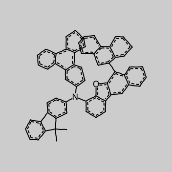 CC1(C)c2ccccc2-c2ccc(N(c3ccc4c5ccccc5c5ccccc5c4c3)c3cccc4c3oc3c(-c5cc6ccccc6c6ccccc56)c5ccccc5cc34)cc21